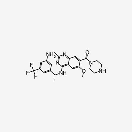 COc1cc2c(N[C@H](C)c3cc(N)cc(C(F)(F)F)c3)nc(C)nc2cc1C(=O)N1CCNCC1